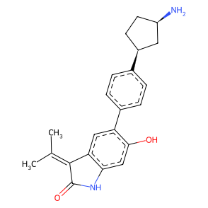 CC(C)=C1C(=O)Nc2cc(O)c(-c3ccc([C@H]4CC[C@@H](N)C4)cc3)cc21